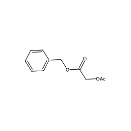 CC(=O)OCC(=O)OCc1ccccc1